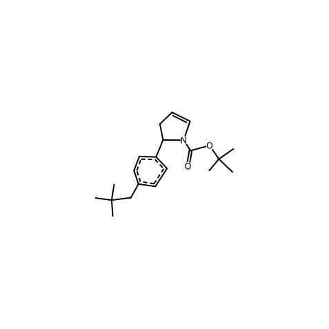 CC(C)(C)Cc1ccc(C2CC=CN2C(=O)OC(C)(C)C)cc1